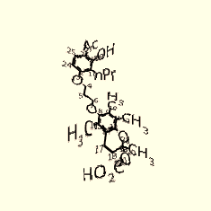 CCCc1c(OCCCOc2c(C)c(C)c3c(c2C)CCC(C)(OC(=O)O)O3)ccc(C(C)=O)c1O